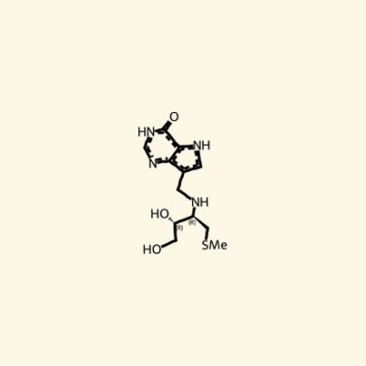 CSC[C@H](NCc1c[nH]c2c(=O)[nH]cnc12)[C@@H](O)CO